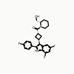 O=C([C@H]1C[C@H](c2c(-c3ccc(F)cc3)[nH]c3c(F)cc(F)cc32)C1)N1CCCC[C@H]1CO